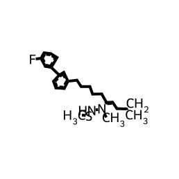 C=C(C)C/C=C(/CCCCCc1cccc(-c2cccc(F)c2)c1)N(C)NSC